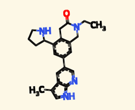 CCN1Cc2cc(-c3cnc4[nH]cc(C)c4c3)cc(C3CCCN3)c2CC1=O